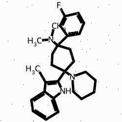 Cc1c(C2(N3CCCCC3)CCC(c3cccc(F)c3)(N(C)C)CC2)[nH]c2ccccc12